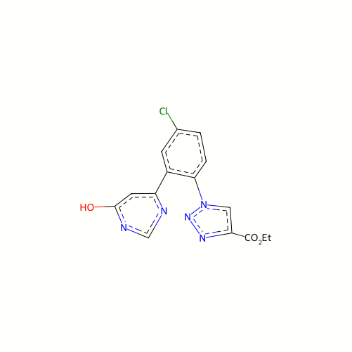 CCOC(=O)c1cn(-c2ccc(Cl)cc2-c2cc(O)ncn2)nn1